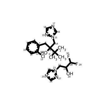 CC(C)(C)C(O)(Cc1ccccc1Cl)Cn1cncn1.OC(Cn1cncn1)C(F)F